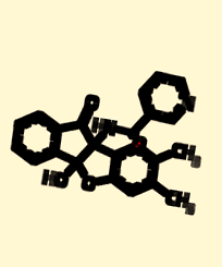 Cc1cc2c(cc1C)C1(NC(=O)c3cccnc3)C(=O)c3ccccc3C1(O)O2